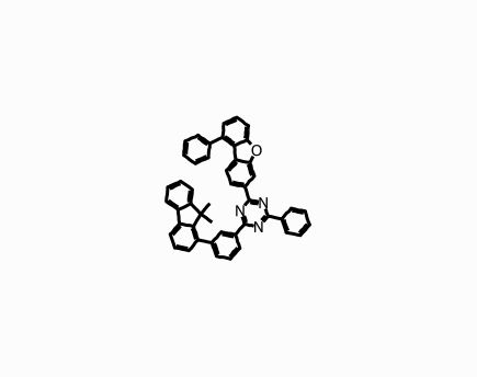 CC1(C)c2ccccc2-c2cccc(-c3cccc(-c4nc(-c5ccccc5)nc(-c5ccc6c(c5)oc5cccc(-c7ccccc7)c56)n4)c3)c21